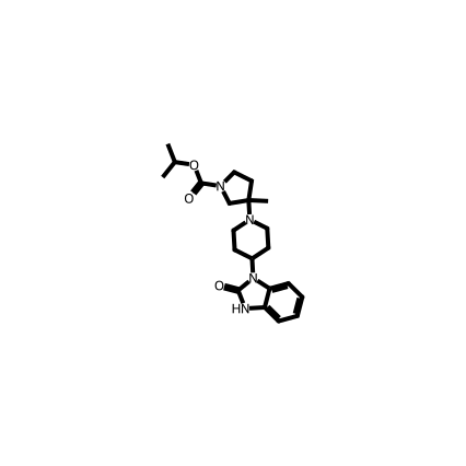 CC(C)OC(=O)N1CCC(C)(N2CCC(n3c(=O)[nH]c4ccccc43)CC2)C1